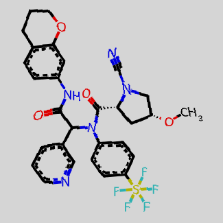 CO[C@@H]1C[C@H](C(=O)N(c2ccc(S(F)(F)(F)(F)F)cc2)C(C(=O)Nc2ccc3c(c2)OCCC3)c2cccnc2)N(C#N)C1